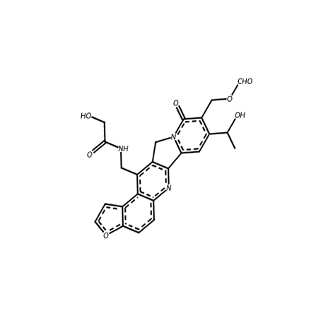 CC(O)c1cc2n(c(=O)c1COC=O)Cc1c-2nc2ccc3occc3c2c1CNC(=O)CO